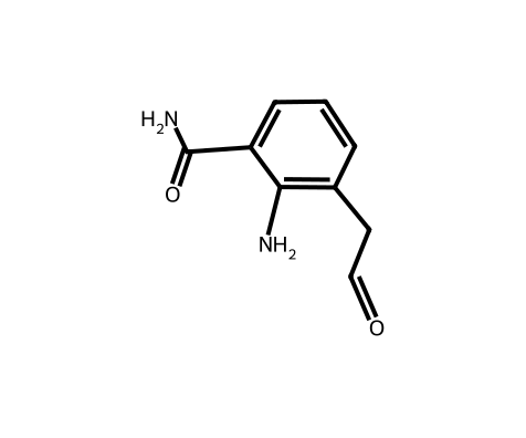 NC(=O)c1cccc(CC=O)c1N